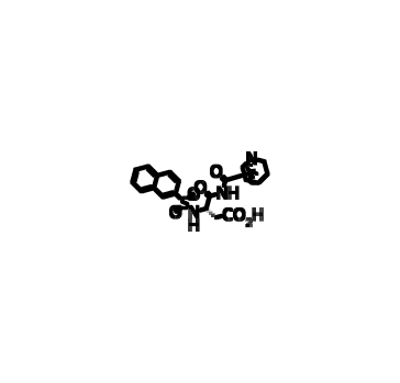 O=C(O)C[C@H](NS(=O)(=O)c1ccc2ccccc2c1)C(=O)NC(=O)C1CC2CCN(CC2)C1